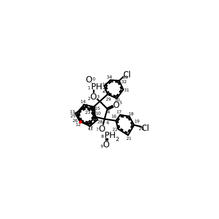 O=[PH2]OC(C(=O)C(O[PH2]=O)(c1ccccc1)c1ccc(Cl)cc1)(c1ccccc1)c1ccc(Cl)cc1